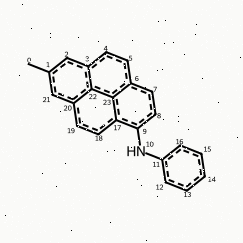 Cc1cc2ccc3ccc(Nc4ccccc4)c4ccc(c1)c2c34